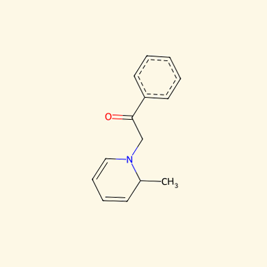 CC1C=CC=CN1CC(=O)c1ccccc1